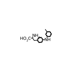 Cc1cccc(Nc2ccc(CC(N)C(=O)O)cc2)c1